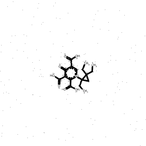 CCC1(CC)CC1(CC)n1cc(C(=O)O)c(=O)c(C(=O)O)c1C(=O)O